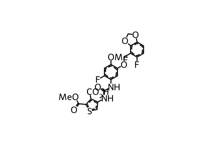 COC(=O)c1scc(NC(=O)Nc2cc(OCc3c(F)ccc4c3OCO4)c(OC)cc2F)c1C(=O)O